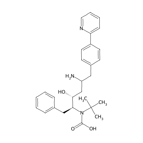 CC(C)(C)N(C(=O)O)[C@@H](Cc1ccccc1)[C@H](O)CC(N)Cc1ccc(-c2ccccn2)cc1